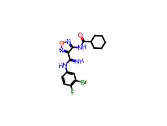 N=C(Nc1ccc(F)c(Br)c1)c1nonc1NC(=O)C1CCCCC1